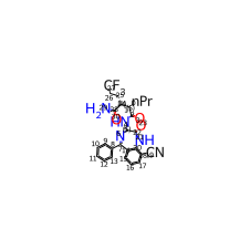 CCC[C@H](C(=O)N[C@H]1N=C(c2ccccc2)c2cccc(C#N)c2NC1=O)[C@@H](CCC(F)(F)F)C(N)=O